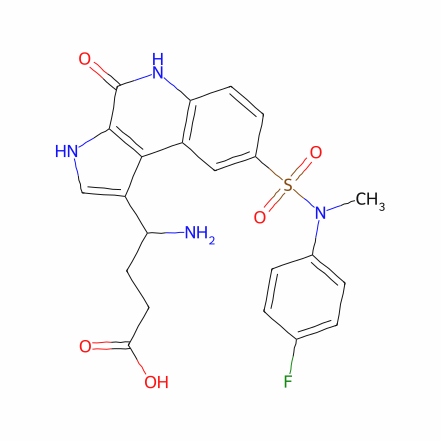 CN(c1ccc(F)cc1)S(=O)(=O)c1ccc2[nH]c(=O)c3[nH]cc(C(N)CCC(=O)O)c3c2c1